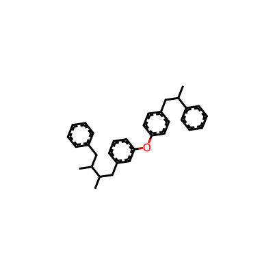 CC(Cc1ccc(Oc2cccc(CC(C)C(C)Cc3ccccc3)c2)cc1)c1ccccc1